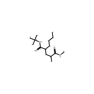 CCCCC(CC(C)C(=O)OC)C(=O)OC(C)(C)C